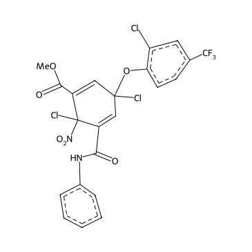 COC(=O)C1=CC(Cl)(Oc2ccc(C(F)(F)F)cc2Cl)C=C(C(=O)Nc2ccccc2)C1(Cl)[N+](=O)[O-]